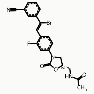 CC(=O)NC[C@H]1CN(c2ccc(C=C(Br)c3cccc(C#N)c3)c(F)c2)C(=O)O1